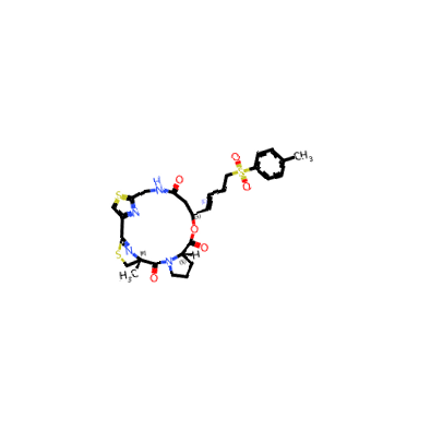 Cc1ccc(S(=O)(=O)CC/C=C/[C@@H]2CC(=O)NCc3nc(cs3)C3=N[C@@](C)(CS3)C(=O)N3CCC[C@H]3C(=O)O2)cc1